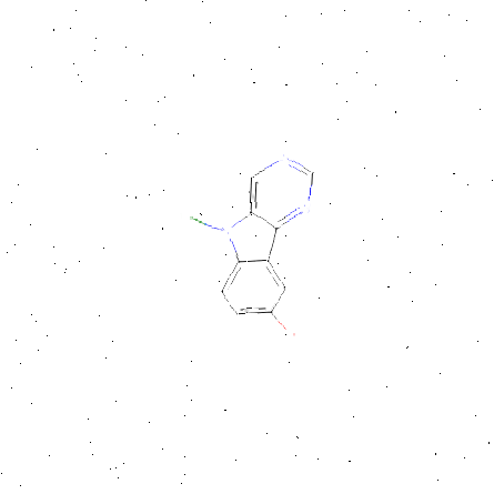 Oc1ccc2c(c1)c1ncncc1n2Cl